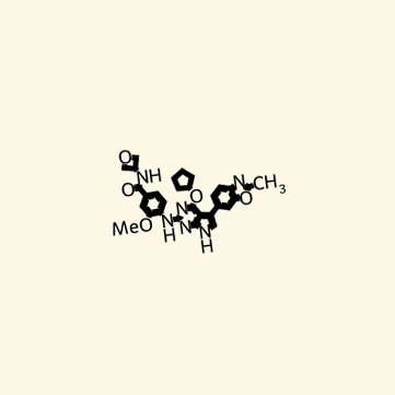 COc1cc(C(=O)NC2COC2)ccc1Nc1nc(OC2CCCC2)c2c(-c3ccc4nc(C)oc4c3)c[nH]c2n1